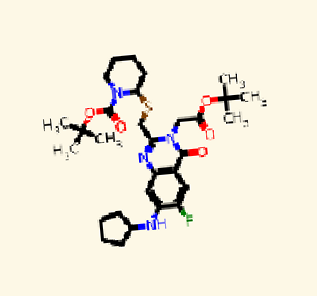 CC(C)(C)OC(=O)Cn1c(CSC2CCCCN2C(=O)OC(C)(C)C)nc2cc(NC3CCCC3)c(F)cc2c1=O